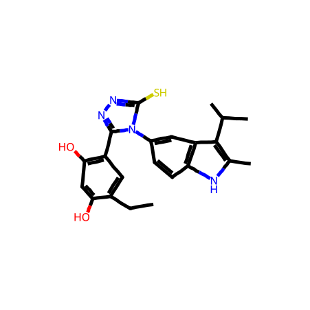 CCc1cc(-c2nnc(S)n2-c2ccc3[nH]c(C)c(C(C)C)c3c2)c(O)cc1O